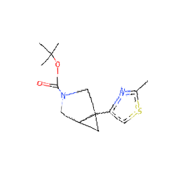 Cc1nc(C23CC2CN(C(=O)OC(C)(C)C)C3)cs1